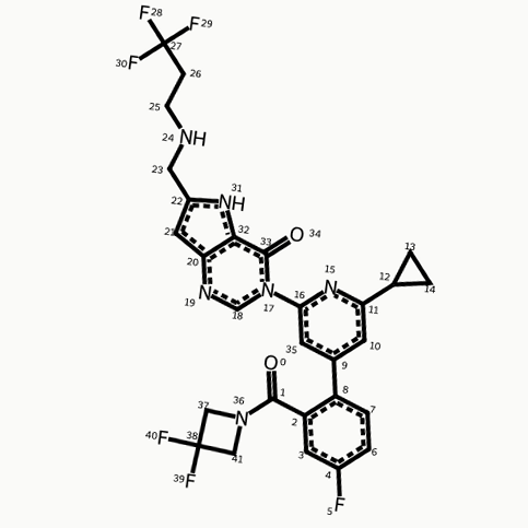 O=C(c1cc(F)ccc1-c1cc(C2CC2)nc(-n2cnc3cc(CNCCC(F)(F)F)[nH]c3c2=O)c1)N1CC(F)(F)C1